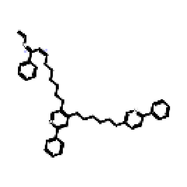 C=C/N=C(\C=C/CCCCCCc1cnc(-c2ccccc2)cc1CCCCCCc1ccc(-c2ccccc2)nc1)c1ccccc1